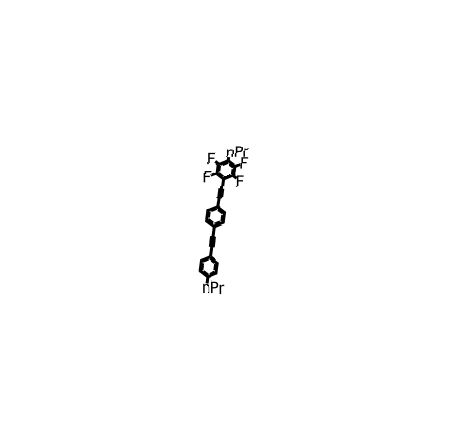 CCCc1ccc(C#Cc2ccc(C#Cc3c(F)c(F)c(CCC)c(F)c3F)cc2)cc1